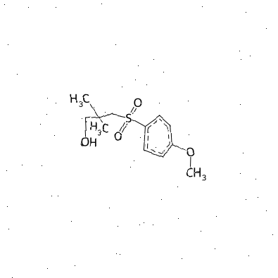 COc1ccc(S(=O)(=O)CC(C)(C)CO)cc1